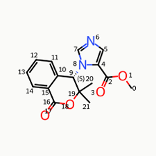 COC(=O)c1cncn1[C@H]1c2ccccc2C(=O)OC1(C)C